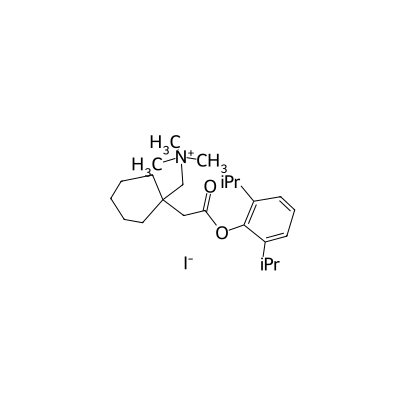 CC(C)c1cccc(C(C)C)c1OC(=O)CC1(C[N+](C)(C)C)CCCCC1.[I-]